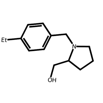 CCc1ccc(CN2CCCC2CO)cc1